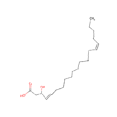 CCCC/C=C\CCCCCCCCC/C=C\C(O)CC(=O)O